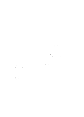 Cc1ccc(S(=O)(=O)C(F)F)cc1N=C=O